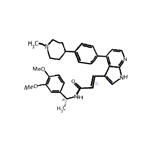 COc1ccc([C@@H](C)NC(=O)/C=C/c2c[nH]c3nccc(-c4ccc(C5CCN(C)CC5)cc4)c23)cc1OC